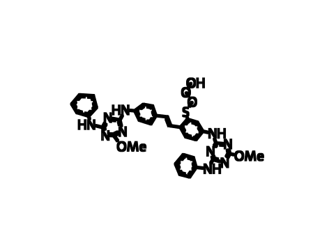 COc1nc(Nc2ccccc2)nc(Nc2ccc(C=Cc3ccc(Nc4nc(Nc5ccccc5)nc(OC)n4)cc3SOOO)cc2)n1